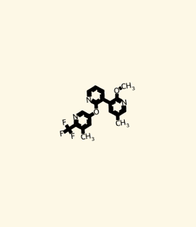 COc1ncc(C)cc1-c1cccnc1Oc1cnc(C(F)(F)F)c(C)c1